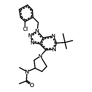 CC(=O)N(C)C1CCN(c2nc(C(C)(C)C)nc3c2nnn3Cc2ccccc2Cl)C1